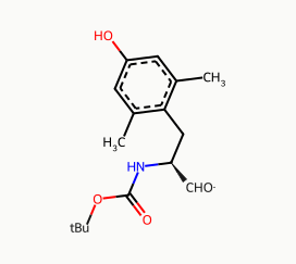 Cc1cc(O)cc(C)c1C[C@@H]([C]=O)NC(=O)OC(C)(C)C